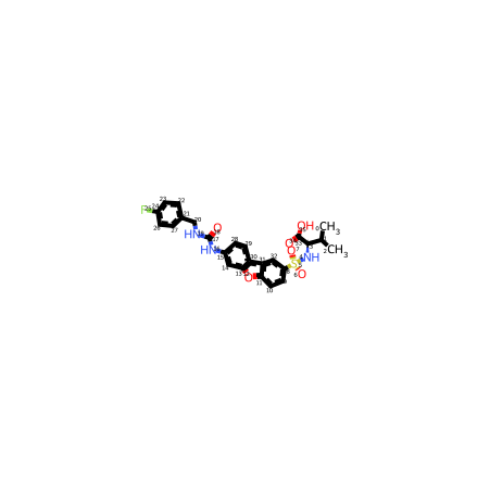 CC(C)[C@@H](NS(=O)(=O)c1ccc2oc3cc(NC(=O)NCc4ccc(F)cc4)ccc3c2c1)C(=O)O